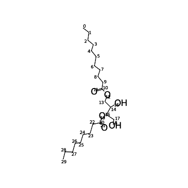 CCCCCCCCCCC(=O)OCC(O)C(CO)OC(=O)CCCCCCCC